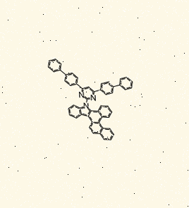 c1ccc(-c2ccc(-c3cc(-c4ccc(-c5ccccc5)cc4)nc(-n4c5ccccc5c5c6ccc7ccccc7c6c6ccccc6c54)n3)cc2)cc1